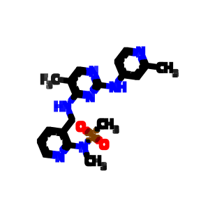 Cc1cc(Nc2ncc(C(F)(F)F)c(NCc3cccnc3N(C)S(C)(=O)=O)n2)ccn1